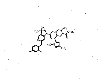 Cc1cc(CC2CN(C(=O)OC(C)(C)C)C(C)CN2CC(=O)N2CC(C)(C)c3cnc(Cc4ccc(F)cc4F)cc32)n(C)n1